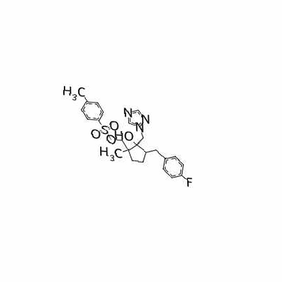 Cc1ccc(S(=O)(=O)OCC2(C)CCC(Cc3ccc(F)cc3)C2(O)Cn2cncn2)cc1